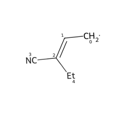 [CH2]C=C(C#N)CC